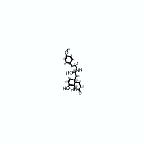 COc1ccc(C[C@@H](C)NC(O)Cc2ccc(O)c3[nH]c(=O)ccc23)cc1